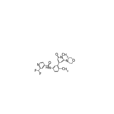 Cc1ccc(NC(=O)c2ccnc(C(F)F)c2)cc1-c1cc(N2CCOCC2)n(C)c(=O)c1